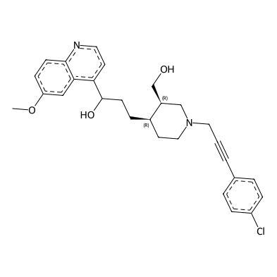 COc1ccc2nccc(C(O)CC[C@@H]3CCN(CC#Cc4ccc(Cl)cc4)C[C@@H]3CO)c2c1